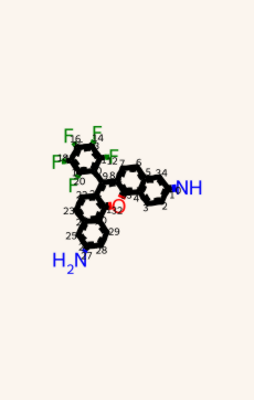 N=c1ccc2c(ccc3c(-c4c(F)c(F)c(F)c(F)c4F)c4ccc5cc(N)ccc5c4oc32)c1